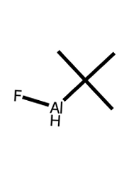 C[C](C)(C)[AlH][F]